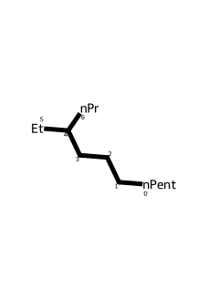 CCC[CH]CCCCC(CC)CCC